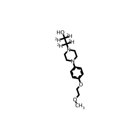 [2H]C([2H])(O)C([2H])([2H])N1CCN(c2ccc(OCCOC)cc2)CC1